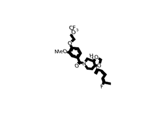 C=C(/C=C\C=C(/C)F)[C@]12CCN(C(=O)c3ccc(OCCOC(F)(F)F)c(OC)c3)C[C@H]1OCO2